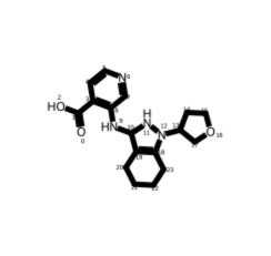 O=C(O)c1ccncc1NC1NN(C2CCOC2)C2=C1CCCC2